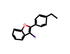 CCc1ccc(-c2oc3ccccc3c2I)cc1